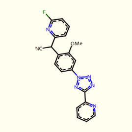 COc1cc(-n2nnc(-c3ccccn3)n2)ccc1C(C#N)c1cccc(F)n1